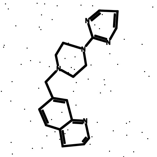 c1cnc(N2CCN(Cc3ccc4cccnc4c3)CC2)nc1